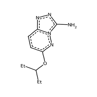 CCC(CC)Oc1ccc2nnc(N)n2n1